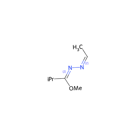 C/C=N\N=C(/OC)C(C)C